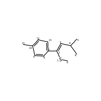 CS/C(=C\C(C)C)c1ccc(C)cc1